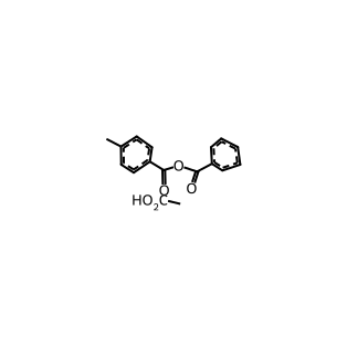 CC(=O)O.Cc1ccc(C(=O)OC(=O)c2ccccc2)cc1